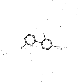 Cc1cc(C(F)(F)F)ccc1-c1cccc(F)n1